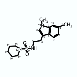 Cc1ccc2c(CCNS(=O)(=O)N3CCCCC3)cn(C)c2c1